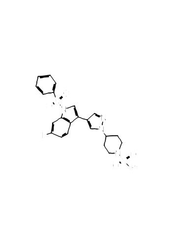 CC(C)S(=O)(=O)N1CCC(n2cc(-c3cn(S(=O)(=O)c4ccccc4)c4cc(F)ccc34)cn2)CC1